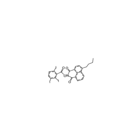 CCCCc1ccc2c3c(cccc13)C(=O)N(OC(=O)c1c(I)ccc(I)c1I)C2=O